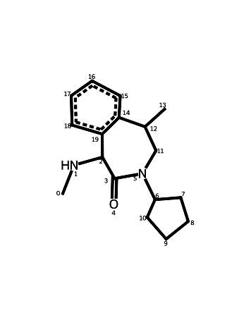 CNC1C(=O)N(C2CCCC2)CC(C)c2ccccc21